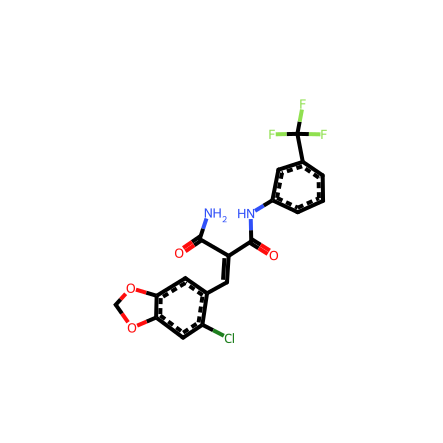 NC(=O)C(=Cc1cc2c(cc1Cl)OCO2)C(=O)Nc1cccc(C(F)(F)F)c1